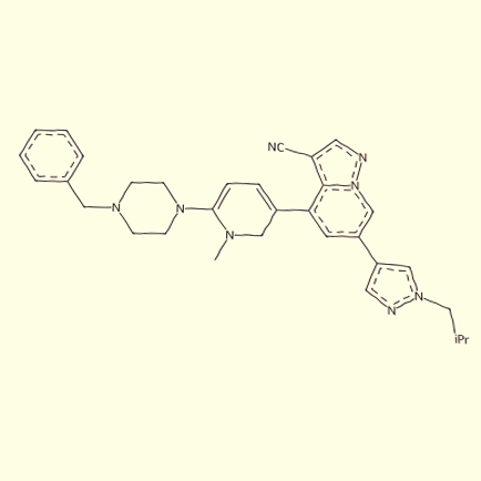 CC(C)Cn1cc(-c2cc(C3=CC=C(N4CCN(Cc5ccccc5)CC4)N(C)C3)c3c(C#N)cnn3c2)cn1